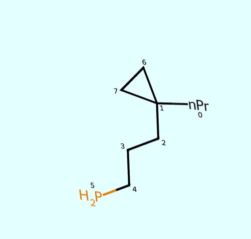 CCCC1(CCCP)CC1